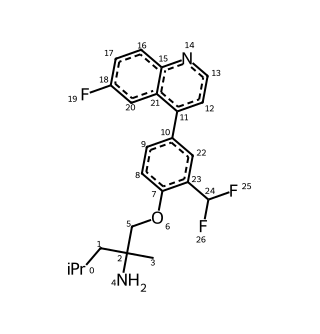 CC(C)CC(C)(N)COc1ccc(-c2ccnc3ccc(F)cc23)cc1C(F)F